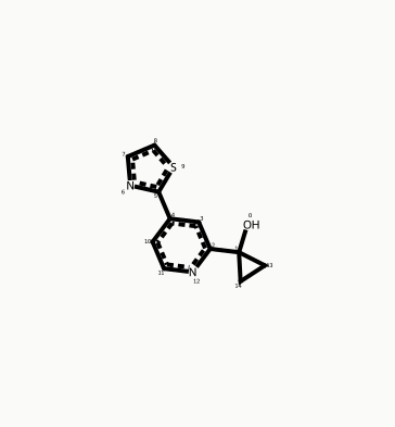 OC1(c2cc(-c3nccs3)ccn2)CC1